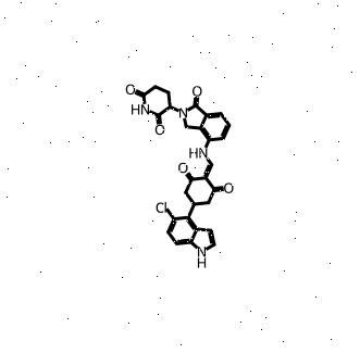 O=C1CCC(N2Cc3c(NC=C4C(=O)CC(c5c(Cl)ccc6[nH]ccc56)CC4=O)cccc3C2=O)C(=O)N1